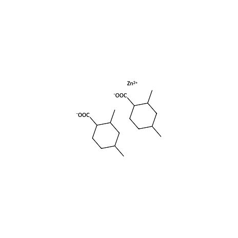 CC1CCC(C(=O)[O-])C(C)C1.CC1CCC(C(=O)[O-])C(C)C1.[Zn+2]